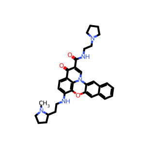 CN1CCCC1CCNc1ccc2c(=O)c(C(=O)NCCN3CCCC3)cn3c2c1Oc1cc2ccccc2cc1-3